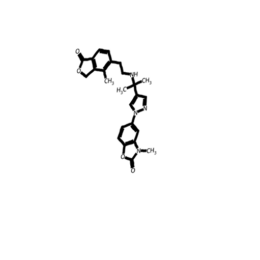 Cc1c(CCNC(C)(C)c2cnn(-c3ccc4oc(=O)n(C)c4c3)c2)ccc2c1COC2=O